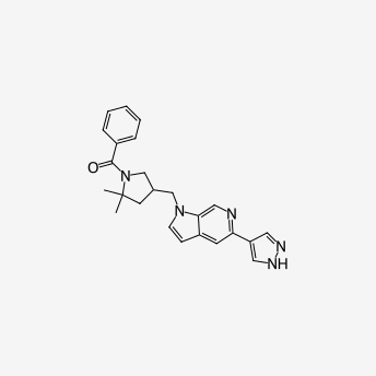 CC1(C)CC(Cn2ccc3cc(-c4cn[nH]c4)ncc32)CN1C(=O)c1ccccc1